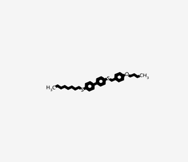 CCCCCCCCSc1ccc(-c2ccc(SCc3ccc(OCCCC)cc3)cc2)cc1